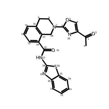 CC(=O)c1coc(N2CCc3cccc(C(=O)Nc4nc5ccccc5s4)c3C2)n1